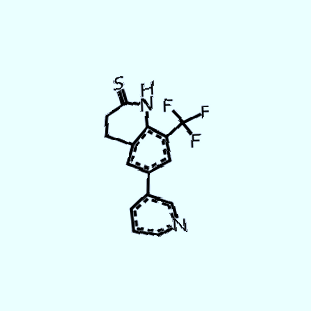 FC(F)(F)c1cc(-c2cccnc2)cc2c1NC(=S)CC2